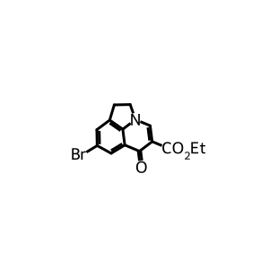 CCOC(=O)c1cn2c3c(cc(Br)cc3c1=O)CC2